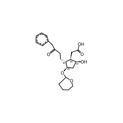 O=C(O)C[C@@H]1[C@@H](CCC(=O)Cc2ccccc2)[C@H](OC2CCCCO2)C[C@@H]1O